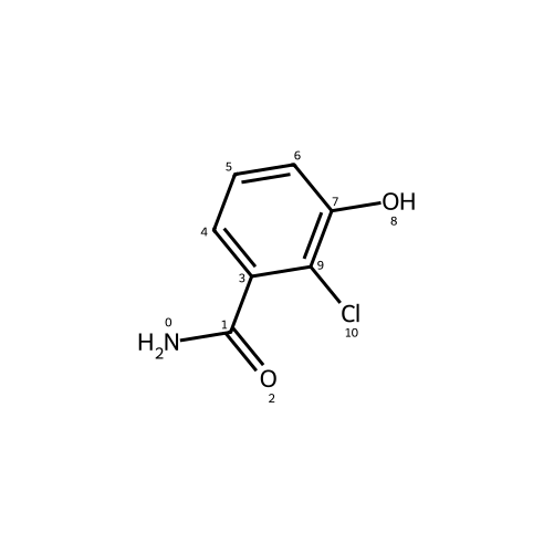 NC(=O)c1cccc(O)c1Cl